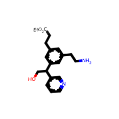 CCOC(=O)CCc1cc(CCN)cc(C(CO)c2cccnc2)c1